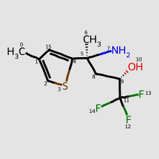 Cc1csc([C@@](C)(N)C[C@H](O)C(F)(F)F)c1